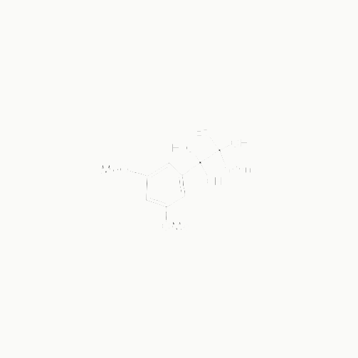 CCCCCC(O)(CC)C(C)(C)c1cc(OC)cc(OC)c1